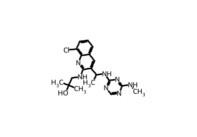 CNc1ncnc(NC(C)c2cc3cccc(Cl)c3nc2NCC(C)(C)O)n1